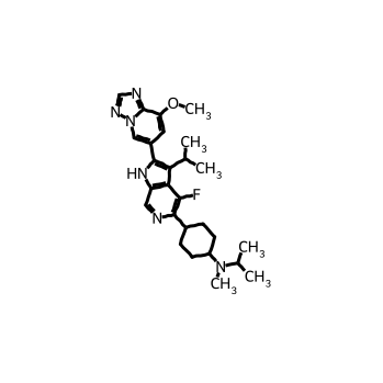 COc1cc(-c2[nH]c3cnc(C4CCC(N(C)C(C)C)CC4)c(F)c3c2C(C)C)cn2ncnc12